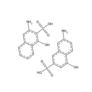 Nc1cc2ccccc2c(O)c1S(=O)(=O)O.Nc1ccc2c(O)cc(S(=O)(=O)O)cc2c1